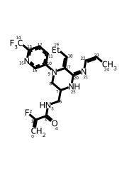 C=C(F)C(=O)NCC1CN(c2ccc(C(F)(F)F)nc2)C(=C\CC)/C(=N\C=C/C)N1